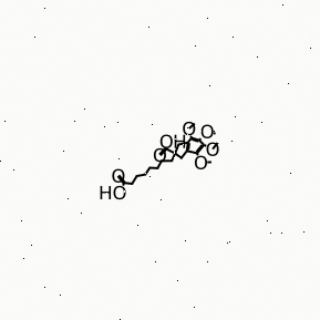 COc1c2c(c(OC)c(OC)c1OC)CC(CCCCCCCC(=O)O)(C(=O)O)C2